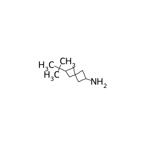 CC(C)(C)C1CC2(CC(N)C2)C1